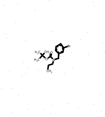 CCCN(Cc1cccc(Br)c1)C(=O)OC(C)(C)C